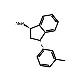 CN[C@@H]1C[C@@H](c2cccc(C)c2)c2ccccc21